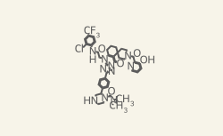 CN(C)C(=O)N1CCNCC1c1ccc(-c2nc3n(CC(=O)Nc4ccc(C(F)(F)F)cc4Cl)c4c(c(=O)n3n2)C2(CCC4)CCN(C(=O)c3ncccc3O)CC2)cc1